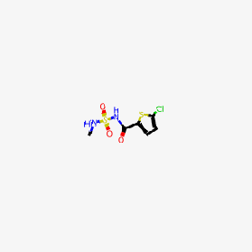 CNS(=O)(=O)NC(=O)c1ccc(Cl)s1